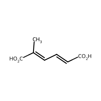 C/C(=C\C=C\C(=O)O)C(=O)O